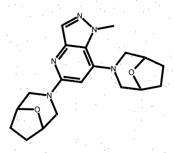 Cn1ncc2nc(N3CC4CCC(C3)O4)cc(N3CC4CCC(C3)O4)c21